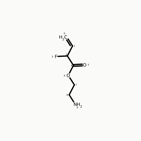 C=CC(F)C(=O)OCCN